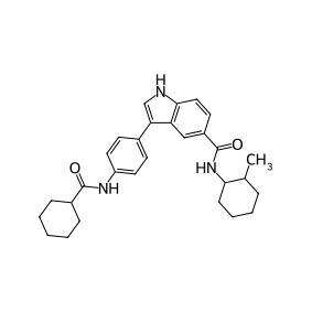 CC1CCCCC1NC(=O)c1ccc2[nH]cc(-c3ccc(NC(=O)C4CCCCC4)cc3)c2c1